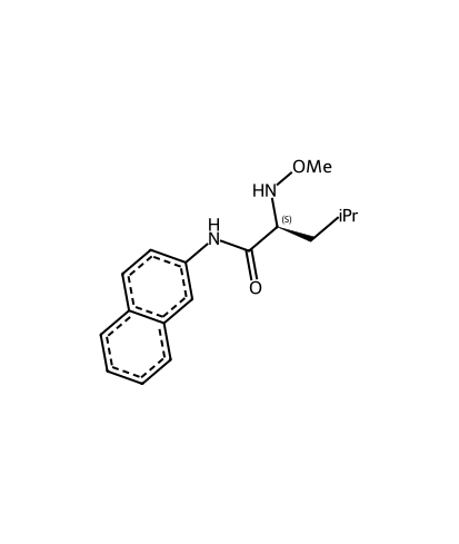 CON[C@@H](CC(C)C)C(=O)Nc1ccc2ccccc2c1